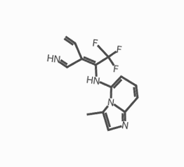 C=C/C(C=N)=C(/Nc1cccc2ncc(C)n12)C(F)(F)F